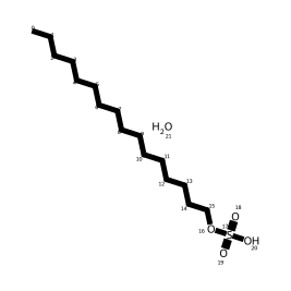 CCCCCCCCCCCCCCCCOS(=O)(=O)O.O